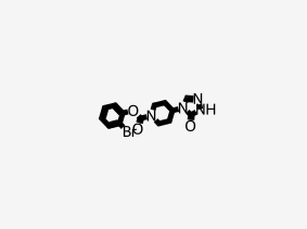 O=C(Oc1ccccc1Br)N1CCC(n2cn[nH]c2=O)CC1